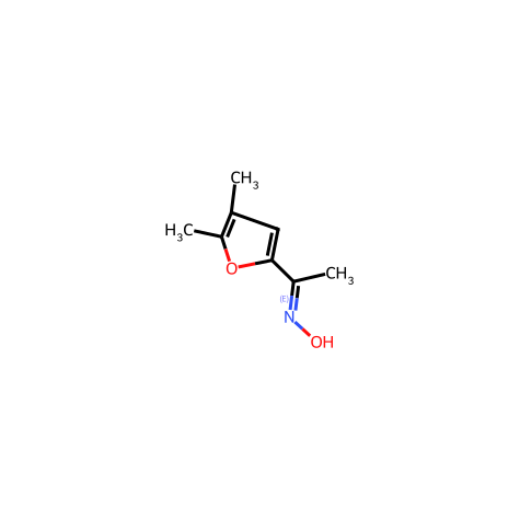 C/C(=N\O)c1cc(C)c(C)o1